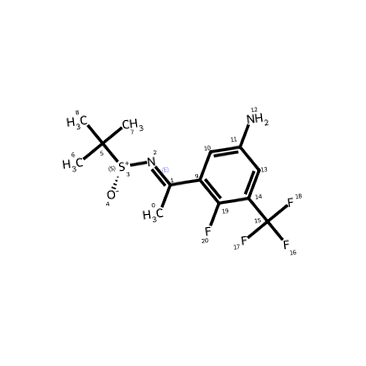 C/C(=N\[S@+]([O-])C(C)(C)C)c1cc(N)cc(C(F)(F)F)c1F